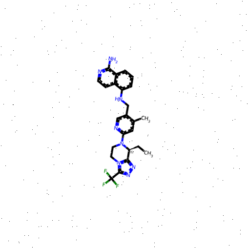 CC[C@H]1c2nnc(C(F)(F)F)n2CCN1c1cc(C)c(CNc2cccc3c(N)nccc23)cn1